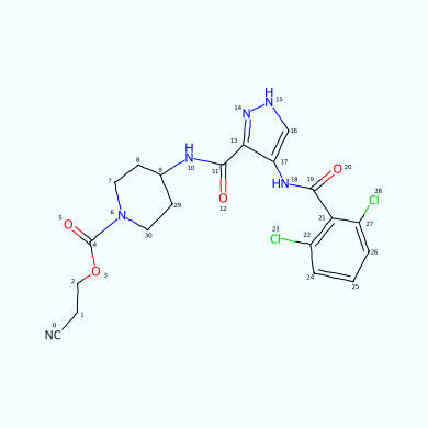 N#CCCOC(=O)N1CCC(NC(=O)c2n[nH]cc2NC(=O)c2c(Cl)cccc2Cl)CC1